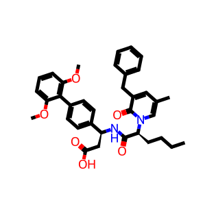 CCCC[C@@H](C(=O)N[C@@H](CC(=O)O)c1ccc(-c2c(OC)cccc2OC)cc1)n1cc(C)cc(Cc2ccccc2)c1=O